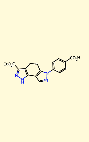 CCOC(=O)c1n[nH]c2c1CCc1c-2cnn1-c1ccc(C(=O)O)cc1